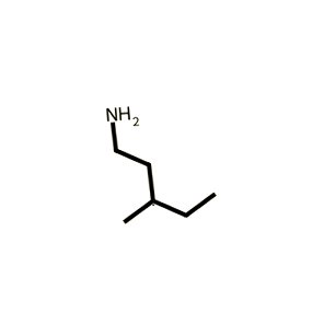 CC[C](C)CCN